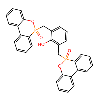 O=P1(Cc2cccc(CP3(=O)Oc4ccccc4-c4ccccc43)c2O)Oc2ccccc2-c2ccccc21